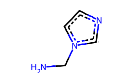 NCn1[c]ncc1